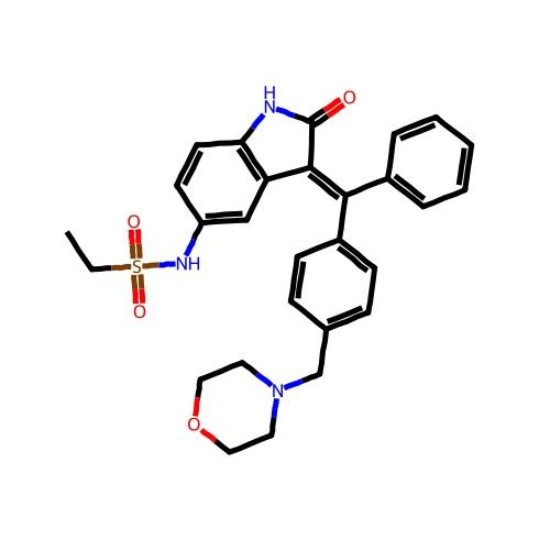 CCS(=O)(=O)Nc1ccc2c(c1)C(=C(c1ccccc1)c1ccc(CN3CCOCC3)cc1)C(=O)N2